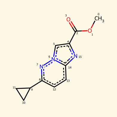 COC(=O)c1cn2nc(C3CC3)ccc2n1